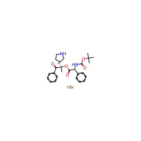 Br.CC(C)(C)OC(=O)NC(C(=O)OC(C)(C(=O)c1ccccc1)[C@@H]1CCNC1)c1ccccc1